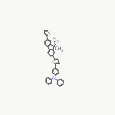 CC1(C)c2cc(-c3cccs3)ccc2-c2ccc(-c3ccc(-c4ccc(N(c5ccccc5)c5ccccc5)cc4)s3)cc21